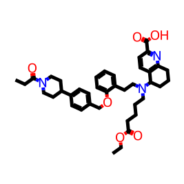 CCOC(=O)CCCCN(CCc1ccccc1OCc1ccc(C2CCN(C(=O)CC)CC2)cc1)C1CCCc2nc(C(=O)O)ccc21